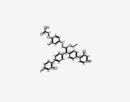 CCOC(CSc1ccc(OCC(=O)O)c(C)c1)=C(c1ccc(-c2ccc(F)cc2Cl)cc1)c1ccc(-c2ccc(F)cc2Cl)cc1